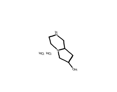 Cl.Cl.OC1CC2CNCCN2C1